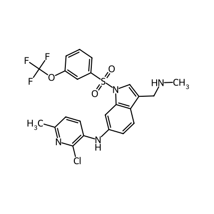 CNCc1cn(S(=O)(=O)c2cccc(OC(F)(F)F)c2)c2cc(Nc3ccc(C)nc3Cl)ccc12